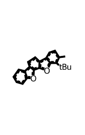 Cc1ccc2c(oc3c2ccc2c4ccccc4oc23)c1C(C)(C)C